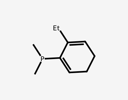 CCC1=CCCC=C1P(C)C